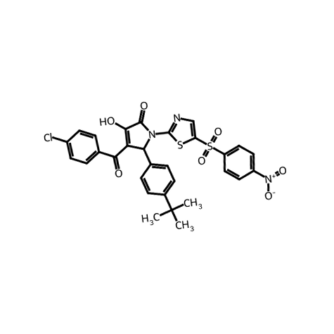 CC(C)(C)c1ccc(C2C(C(=O)c3ccc(Cl)cc3)=C(O)C(=O)N2c2ncc(S(=O)(=O)c3ccc([N+](=O)[O-])cc3)s2)cc1